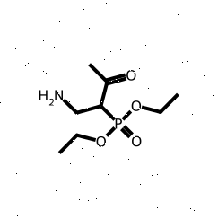 CCOP(=O)(OCC)C(CN)C(C)=O